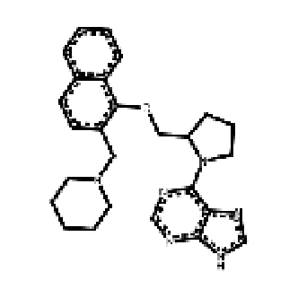 c1ccc2c(OCC3CCCN3c3ncnc4[nH]cnc34)c(CN3CCCCC3)ccc2c1